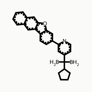 BC(B)(c1ccnc(-c2ccc3c(c2)oc2cc4ccccc4cc23)c1)C1CCCC1